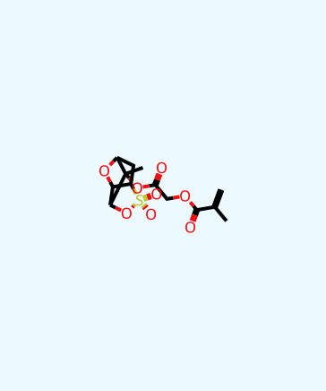 C=C(C)C(=O)OCC(=O)OC1(C)C2CC3C(O2)C1OS3(=O)=O